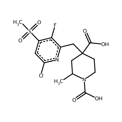 CC1CC(Cc2nc(Cl)cc(S(C)(=O)=O)c2F)(C(=O)O)CCN1C(=O)O